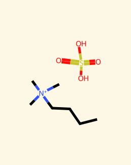 CCCC[N+](C)(C)C.O=S(=O)(O)O